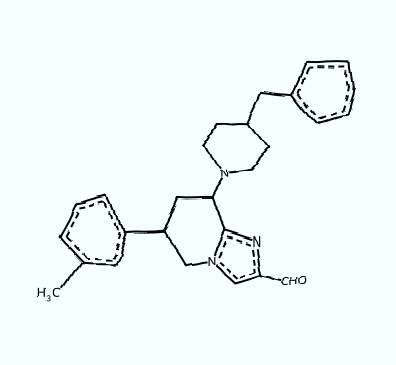 Cc1cccc(C2CC(N3CCC(Cc4ccccc4)CC3)c3nc(C=O)cn3C2)c1